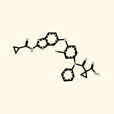 NC(=O)C1(C(=O)N(c2ccccc2)c2ccc(Oc3ccc4nc(NC(=O)C5CC5)sc4c3)c(F)c2)CC1